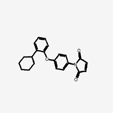 O=C1C=CC(=O)N1c1ccc(Oc2ccccc2C2CCCCC2)cc1